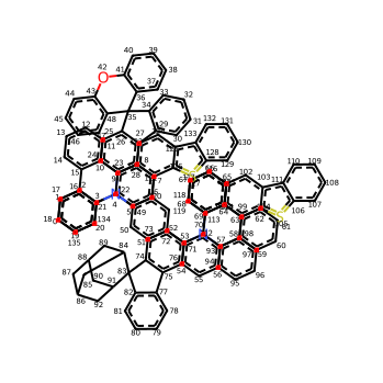 c1ccc(-c2ccccc2-c2ccccc2-c2ccccc2N(c2ccc3c(c2)-c2ccccc2C32c3ccccc3Oc3ccccc32)c2ccc(-c3cccc(-c4ccccc4-c4ccccc4N(c4ccc5c(c4)-c4ccccc4C54C5CC6CC(C5)CC4C6)c4ccccc4-c4cccc5c4sc4ccccc45)c3-c3ccccc3)cc2-c2cccc3c2sc2ccccc23)cc1